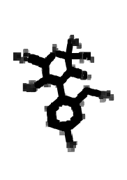 C=C1SC(C)(C)C(=O)C(c2ccc(Br)cc2CC)=C1O